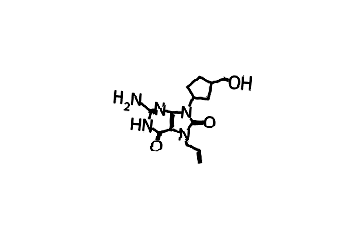 C=CCn1c(=O)n(C2CCC(CO)C2)c2nc(N)[nH]c(=O)c21